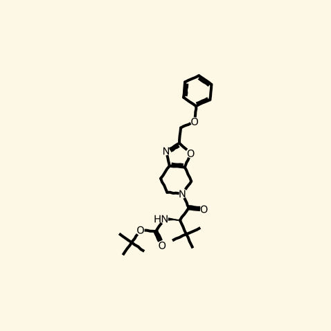 CC(C)(C)OC(=O)N[C@@H](C(=O)N1CCc2nc(COc3ccccc3)oc2C1)C(C)(C)C